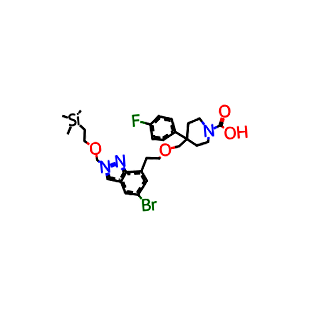 C[Si](C)(C)CCOCn1cc2cc(Br)cc(CCOCC3(c4ccc(F)cc4)CCN(C(=O)O)CC3)c2n1